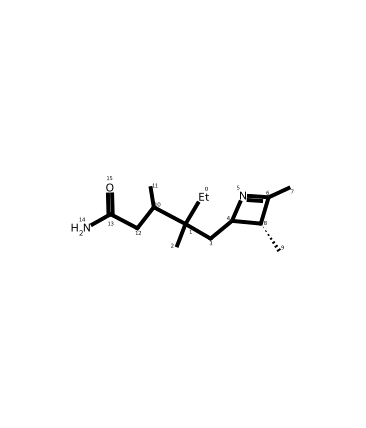 CCC(C)(CC1N=C(C)[C@@H]1C)C(C)CC(N)=O